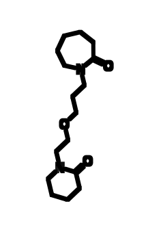 O=C1CCCCCN1CCCOCCN1CCCCC1=O